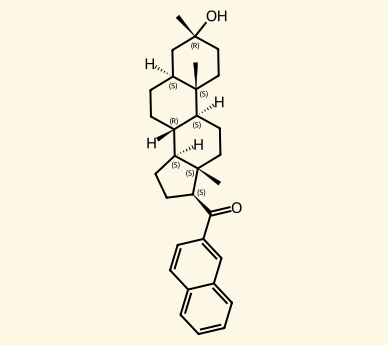 C[C@@]1(O)CC[C@@]2(C)[C@@H](CC[C@@H]3[C@@H]2CC[C@]2(C)[C@@H](C(=O)c4ccc5ccccc5c4)CC[C@@H]32)C1